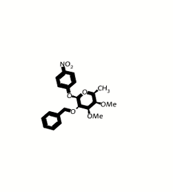 CO[C@H]1[C@H](OCc2ccccc2)[C@@H](Oc2ccc([N+](=O)[O-])cc2)O[C@@H](C)[C@H]1OC